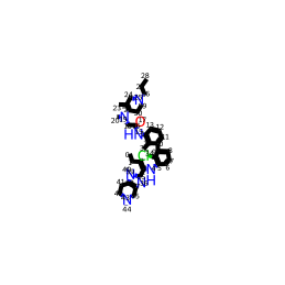 CC/C=C(/Nc1cccc(-c2cccc(NC(=O)CN(C)C3=C(C)CN(CCC)CC3)c2C)c1Cl)c1nc2c(n1C)CCN(C)C2